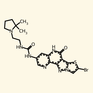 CC1(C)CCCN1CCNC(=O)Nc1cnc2c(c1)[nH]c(=O)c1c2nn2cc(Br)sc12